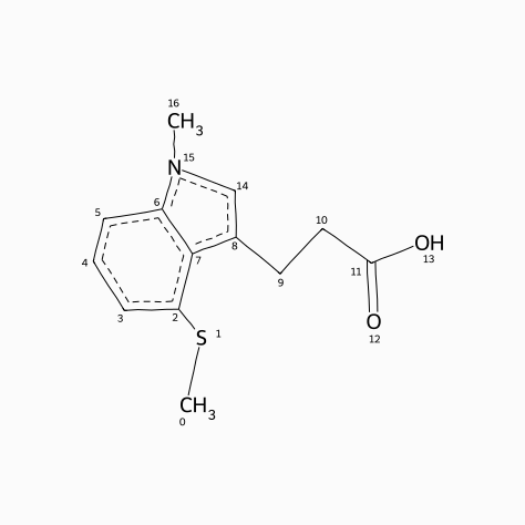 CSc1cccc2c1c(CCC(=O)O)cn2C